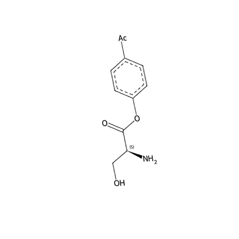 CC(=O)c1ccc(OC(=O)[C@@H](N)CO)cc1